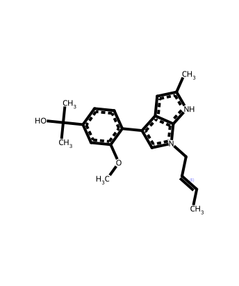 C/C=C/Cn1cc(-c2ccc(C(C)(C)O)cc2OC)c2cc(C)[nH]c21